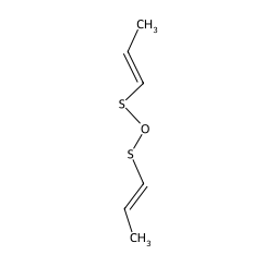 CC=CSOSC=CC